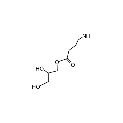 [NH]CCCC(=O)OCC(O)CO